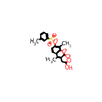 Cc1cccc(S(=O)(=O)Oc2ccc3c(C)c(CC(=O)O)c(=O)oc3c2C)c1